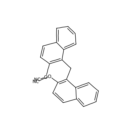 N#COc1ccc2ccccc2c1Cc1c(OC#N)ccc2ccccc12